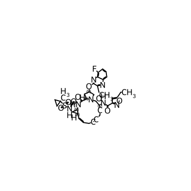 CCc1cc(C(=O)N[C@H]2CCCCCC=C[C@@H]3C[C@@]3(C(=O)NS(=O)(=O)C3(C)CC3)NC(=O)[C@@H]3C[C@@H](Oc4nc5c(F)cccc5nc4CC)CN3C2=O)no1